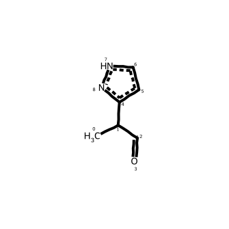 CC([C]=O)c1cc[nH]n1